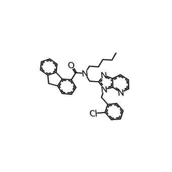 CCCCCN(Cc1nc2cccnc2n1Cc1ccccc1Cl)C(=O)c1cccc2c1-c1ccccc1C2